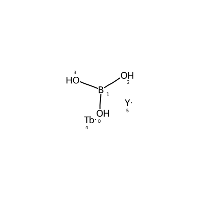 OB(O)O.[Tb].[Y]